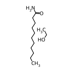 CCCCCCCCCCC(N)=O.CCO